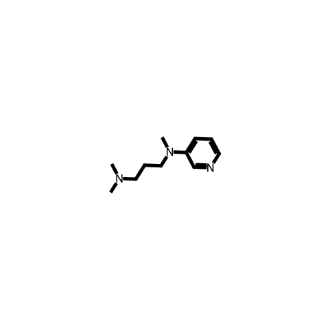 CN(C)CCCN(C)c1cccnc1